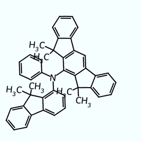 CC1(C)c2ccccc2-c2cccc(N(c3ccccc3)c3c4c(cc5c3C(C)(C)c3ccccc3-5)-c3ccccc3C4(C)C)c21